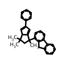 CC1(c2cccc3c2Cc2ccccc2-3)CC(C)(C)C2C=C(c3ccccc3)C=C21